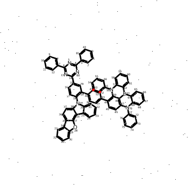 c1ccc(-c2nc(-c3ccccc3)nc(-c3ccc(-n4c5ccccc5c5c6oc7ccccc7c6ccc54)c(-c4ccc(-c5ccc6c7c5N(c5ccccc5)c5ccccc5B7c5ccccc5N6c5ccccc5)cc4)c3)n2)cc1